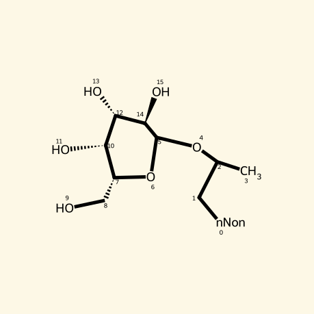 CCCCCCCCCCC(C)OC1O[C@H](CO)[C@H](O)[C@H](O)[C@H]1O